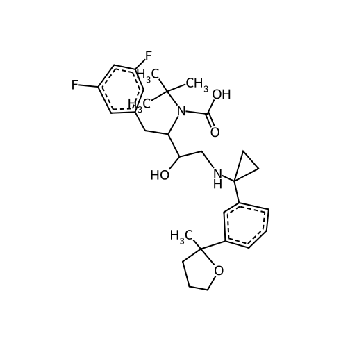 CC1(c2cccc(C3(NCC(O)C(Cc4cc(F)cc(F)c4)N(C(=O)O)C(C)(C)C)CC3)c2)CCCO1